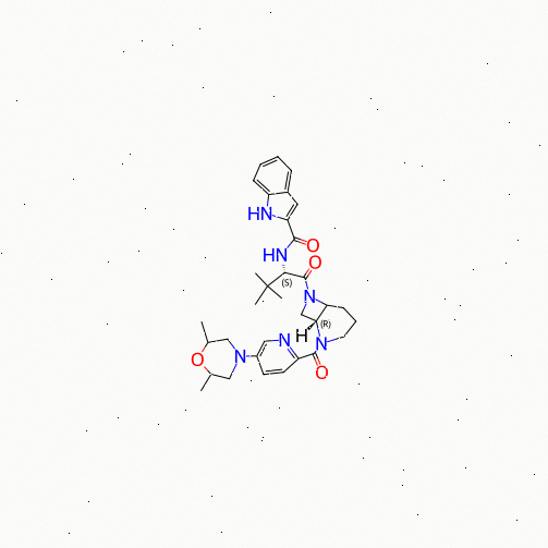 CC1CN(c2ccc(C(=O)N3CCCC4[C@H]3CN4C(=O)[C@@H](NC(=O)c3cc4ccccc4[nH]3)C(C)(C)C)nc2)CC(C)O1